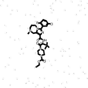 CCOC(=O)N1CCN(C(=O)[C@@H](NC(=O)c2nc(-c3cc(Cl)ccc3F)n3c2CN(C)CCC3)C(C)(C)C)CC1